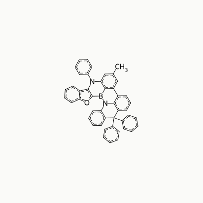 Cc1cc2c3c(c1)N(c1ccccc1)c1c(oc4ccccc14)B3N1c3ccccc3C(c3ccccc3)(c3ccccc3)c3cccc-2c31